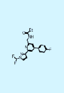 CCC(=O)NCc1cc(-c2ccc(F)cc2)cc(-c2ccn(C(F)F)n2)n1